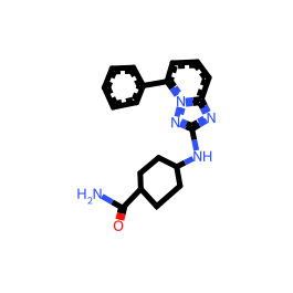 NC(=O)C1CCC(Nc2nc3cccc(-c4ccccc4)n3n2)CC1